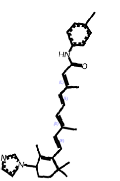 CC1=C(/C=C/C(C)=C/C=C/C(C)=C/C(=O)Nc2ccc(C)cc2)C(C)(C)CCC1n1ccnc1